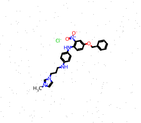 C[n+]1ccn(CCCNc2ccc(Nc3ccc(OCc4ccccc4)cc3[N+](=O)[O-])cc2)c1.[Cl-]